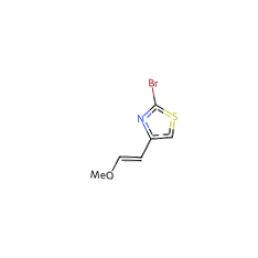 COC=Cc1csc(Br)n1